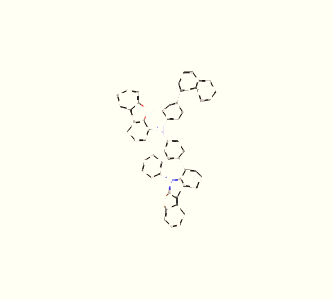 c1ccc(-n2c3sc4ccccc4c3c3cccc(-c4ccc(N(c5ccc(-c6cccc7ccccc67)cc5)c5cccc6c5oc5ccccc56)cc4)c32)cc1